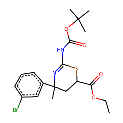 CCOC(=O)C1CC(C)(c2cccc(Br)c2)N=C(NC(=O)OC(C)(C)C)S1